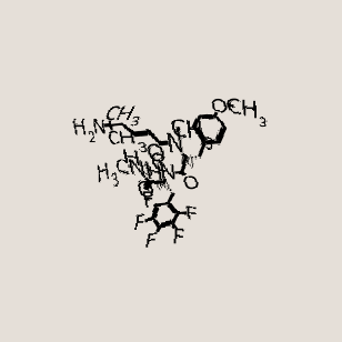 CNC(=O)[C@@H](Cc1c(F)c(F)c(F)c(F)c1F)N(C)C(=O)[C@@H](Cc1ccc(OC)cc1)N(C)C(=O)C=CCC(C)(C)N